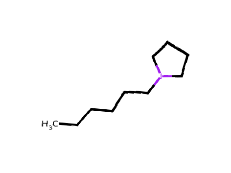 CCCCCCI1CCCC1